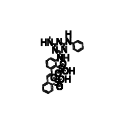 CNc1nc(Nc2ccccc2)nc(Nc2cccc(C=Cc3ccccc3S(=O)(=O)O)c2S(=O)(=O)O)n1